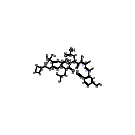 C=C(/C(F)=C(C)\C=C(/C)c1cc(CC)ccc1C#N)[C@H](CC(=O)O)NC(=O)C(CC(C)C)n1cc(CCN2CCC2)c(C(F)(F)F)cc1=O